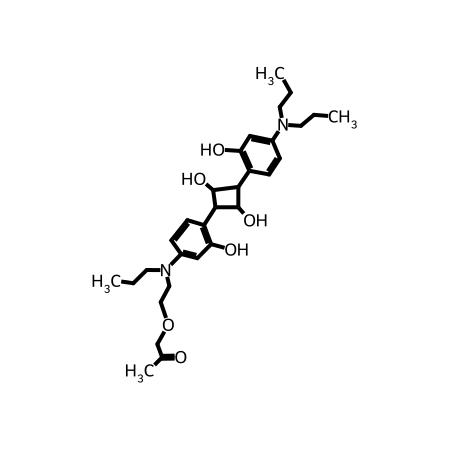 CCCN(CCC)c1ccc(C2C(O)C(c3ccc(N(CCC)CCOCC(C)=O)cc3O)C2O)c(O)c1